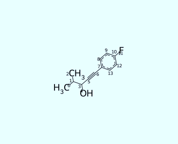 CC(C)C(O)C#Cc1ccc(F)cc1